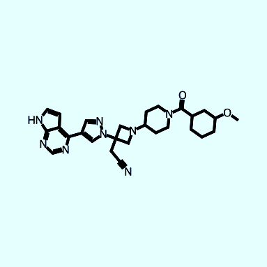 COC1CCCC(C(=O)N2CCC(N3CC(CC#N)(n4cc(-c5ncnc6[nH]ccc56)cn4)C3)CC2)C1